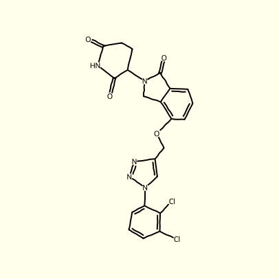 O=C1CCC(N2Cc3c(OCc4cn(-c5cccc(Cl)c5Cl)nn4)cccc3C2=O)C(=O)N1